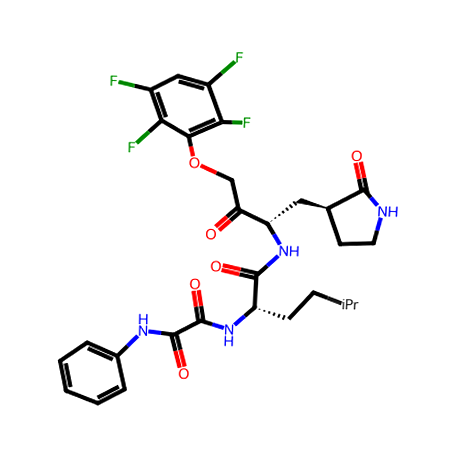 CC(C)CC[C@H](NC(=O)C(=O)Nc1ccccc1)C(=O)N[C@@H](C[C@@H]1CCNC1=O)C(=O)COc1c(F)c(F)cc(F)c1F